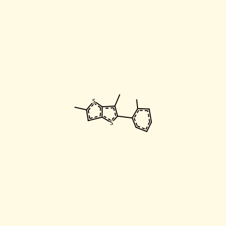 Cc1cc2sc(-c3ccccc3C)c(C)c2s1